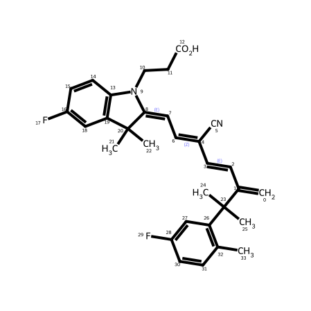 C=C(/C=C/C(C#N)=C/C=C1/N(CCC(=O)O)c2ccc(F)cc2C1(C)C)C(C)(C)c1cc(F)ccc1C